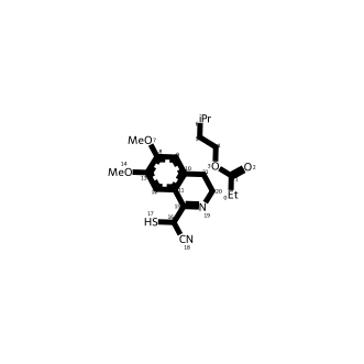 CCC(=O)OCCC(C)C.COc1cc2c(cc1OC)C(C(S)C#N)=NCC2